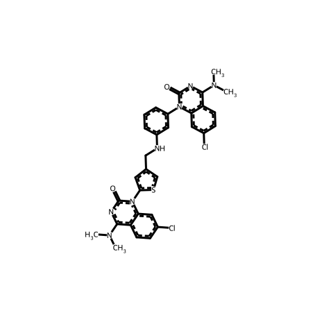 CN(C)c1nc(=O)n(-c2cccc(NCc3csc(-n4c(=O)nc(N(C)C)c5ccc(Cl)cc54)c3)c2)c2cc(Cl)ccc12